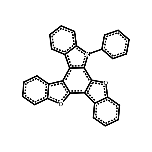 c1ccc(-n2c3ccccc3c3c4c5ccccc5oc4c4c5ccccc5oc4c32)cc1